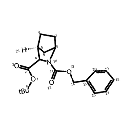 CC(C)(C)OC(=O)C1[C@H]2CCC(C2)N1C(=O)OCc1ccccc1